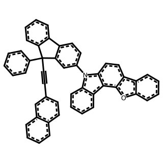 C(#CC1(c2ccccc2)c2ccccc2-c2ccc(-n3c4ccccc4c4c5oc6ccccc6c5ccc43)cc21)c1ccc2ccccc2c1